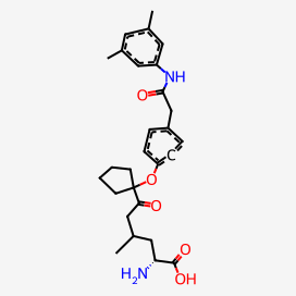 Cc1cc(C)cc(NC(=O)Cc2ccc(OC3(C(=O)CC(C)C[C@@H](N)C(=O)O)CCCC3)cc2)c1